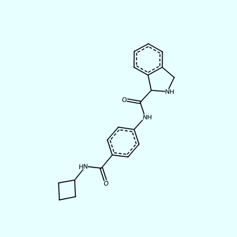 O=C(NC1CCC1)c1ccc(NC(=O)C2NCc3ccccc32)cc1